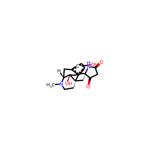 CN1CC[C@]23C[C@]4(CC[C@@]2(O)[C@H]1Cc1ccc(O)cc13)NC(=O)CC4=O